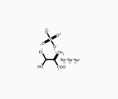 C=C(C(=O)[O-])C(O)CC.O=S(=O)([O-])[O-].[Na+].[Na+].[Na+]